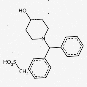 CS(=O)(=O)O.OC1CCN(C(c2ccccc2)c2ccccc2)CC1